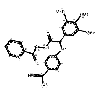 COc1cc(C(Nc2ccc(C(=N)N)cc2)C(=O)NNC(=O)c2ccccn2)cc(OC)c1OC